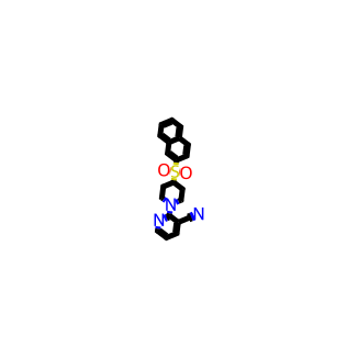 N#Cc1cccnc1N1CCC(S(=O)(=O)c2ccc3ccccc3c2)CC1